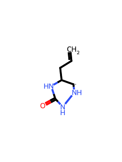 C=CCC1[CH]NNC(=O)N1